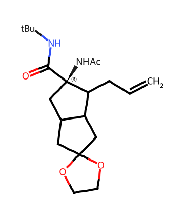 C=CCC1C2CC3(CC2C[C@]1(NC(C)=O)C(=O)NC(C)(C)C)OCCO3